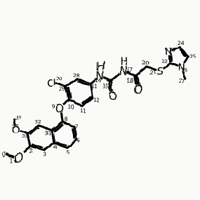 COc1cc2cccc(Oc3ccc(NC(=O)NC(=O)CSc4nccn4C)cc3Cl)c2cc1OC